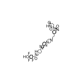 Cn1c(=O)n(C2CCC(=O)NC2=O)c2ccc(CCCN3CCN(c4ccc5nn([C@H]6CC[C@H](CNC(=O)c7cc(F)c(O)c(F)c7F)CC6)cc5n4)CC3)cc21